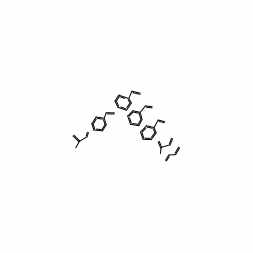 C=CC(=C)C.C=CC(=C)C.C=CC=C.C=Cc1ccccc1.C=Cc1ccccc1.C=Cc1ccccc1.C=Cc1ccccc1